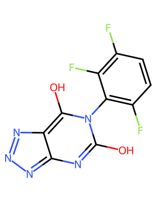 Oc1nc2nnnc-2c(O)n1-c1c(F)ccc(F)c1F